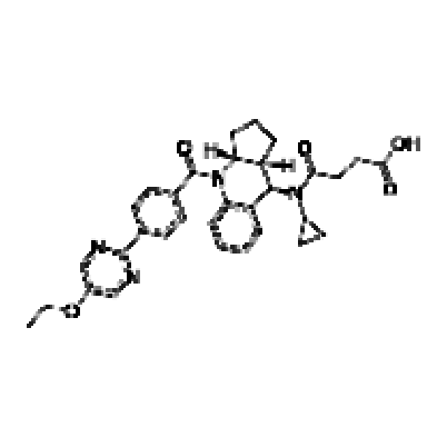 CCOc1cnc(-c2ccc(C(=O)N3c4ccccc4[C@H](N(C(=O)CCC(=O)O)C4CC4)[C@H]4CCC[C@H]43)cc2)nc1